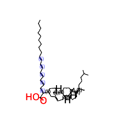 CCCCCCCCC/C=C/C=C/C=C/C=C/C=C(/C(=O)O)[C@H]1CC[C@@]2(C)C(=CC[C@H]3[C@@H]4CC[C@H]([C@H](C)CCCC(C)C)[C@@]4(C)CC[C@@H]32)C1